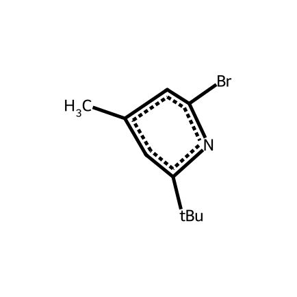 Cc1cc(Br)nc(C(C)(C)C)c1